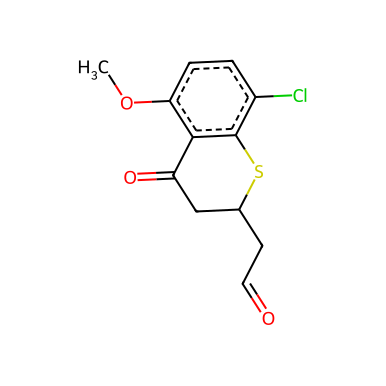 COc1ccc(Cl)c2c1C(=O)CC(CC=O)S2